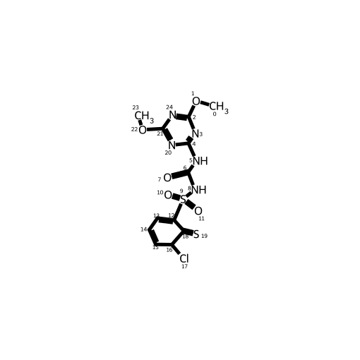 COc1nc(NC(=O)NS(=O)(=O)C2=CC=CC(Cl)C2=S)nc(OC)n1